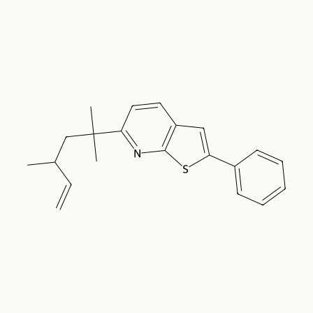 C=CC(C)CC(C)(C)c1ccc2cc(-c3ccccc3)sc2n1